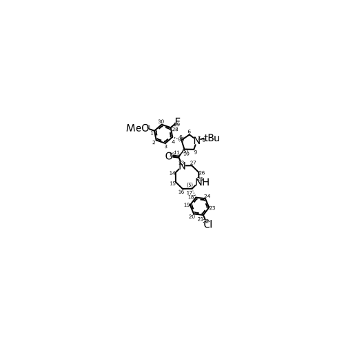 COc1ccc([C@@H]2CN(C(C)(C)C)C[C@H]2C(=O)N2CCC[C@@H](c3ccc(Cl)cc3)NCC2)c(F)c1